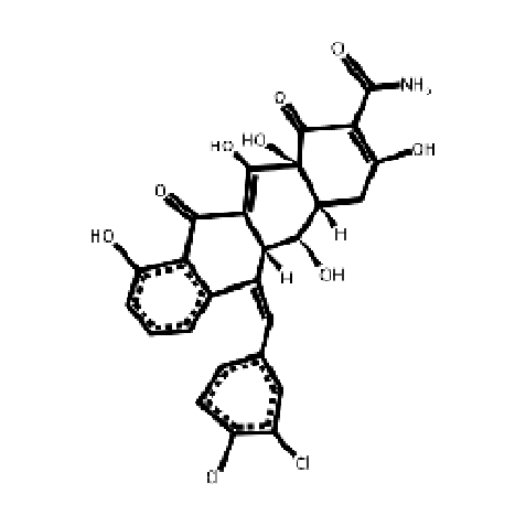 NC(=O)C1=C(O)C[C@@H]2[C@@H](O)[C@H]3C(=C(O)[C@]2(O)C1=O)C(=O)c1c(O)cccc1/C3=C\c1ccc(Cl)c(Cl)c1